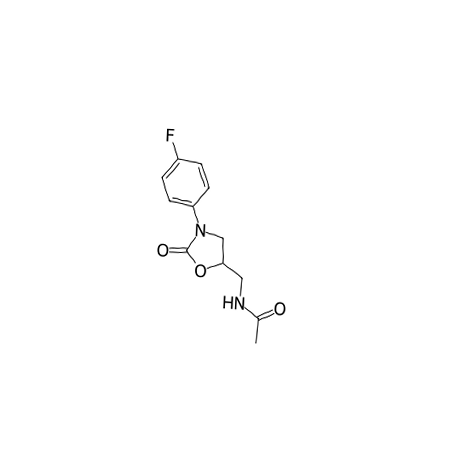 CC(=O)NCC1CN(c2ccc(F)cc2)C(=O)O1